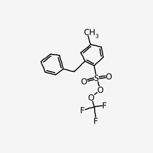 Cc1ccc(S(=O)(=O)OOC(F)(F)F)c(Cc2ccccc2)c1